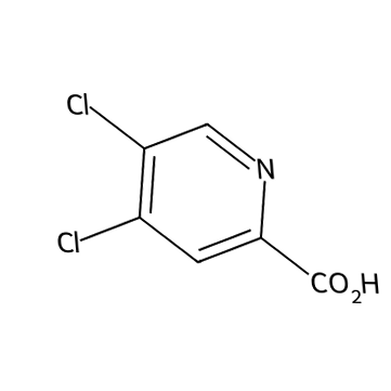 O=C(O)c1cc(Cl)c(Cl)cn1